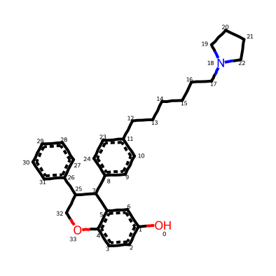 Oc1ccc2c(c1)C(c1ccc(CCCCCCN3CCCC3)cc1)C(c1ccccc1)CO2